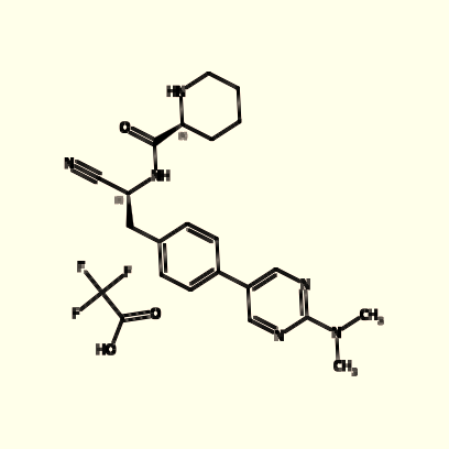 CN(C)c1ncc(-c2ccc(C[C@@H](C#N)NC(=O)[C@@H]3CCCCN3)cc2)cn1.O=C(O)C(F)(F)F